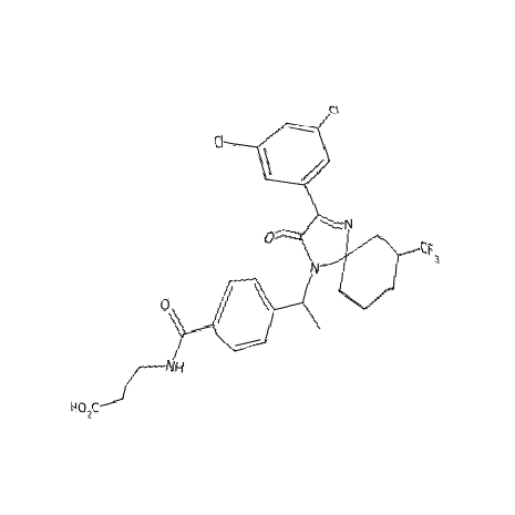 CC(c1ccc(C(=O)NCCC(=O)O)cc1)N1C(=O)C(c2cc(Cl)cc(Cl)c2)=NC12CCCC(C(F)(F)F)C2